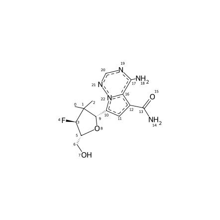 CC1(C)[C@H](F)[C@@H](CO)O[C@H]1c1cc(C(N)=O)c2c(N)ncnn12